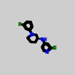 Fc1cccc(N2CCC[C@@H](Nc3ccnc(Cl)c3)C2)c1